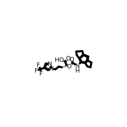 O=C(Nc1c2c(cc3c1CCC3)CCC2)O[C@H](CCCn1cc(C(F)(F)F)cn1)C(=O)O